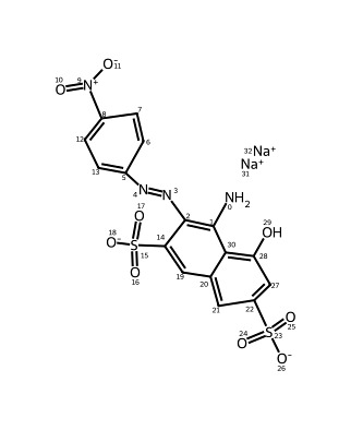 Nc1c(N=Nc2ccc([N+](=O)[O-])cc2)c(S(=O)(=O)[O-])cc2cc(S(=O)(=O)[O-])cc(O)c12.[Na+].[Na+]